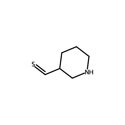 S=CC1CCCNC1